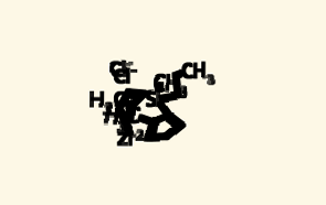 CCC[Si]1(C)C2=CC[C](=C2C)[Zr+2][C]2=C(C)C1=CC2.[Cl-].[Cl-]